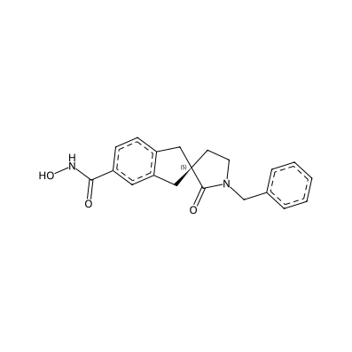 O=C(NO)c1ccc2c(c1)C[C@]1(CCN(Cc3ccccc3)C1=O)C2